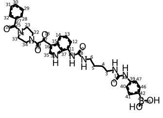 O=C(NCCCCNC(=O)Nc1cccc2c(C(=O)C(=O)N3CCN(C(=O)c4ccccc4)CC3)c[nH]c12)Nc1ccc(B(O)O)cc1